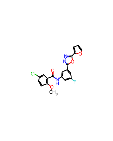 COc1ccc(Cl)cc1C(=O)Nc1cc(F)cc(-c2nnc(-c3ccco3)o2)c1